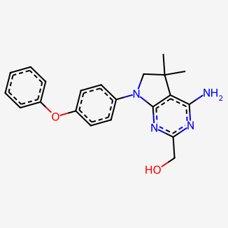 CC1(C)CN(c2ccc(Oc3ccccc3)cc2)c2nc(CO)nc(N)c21